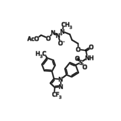 CC(=O)OCON=[N+]([O-])N(C)CCCOC(=O)NS(=O)(=O)c1ccc(-n2nc(C(F)(F)F)cc2-c2ccc(C)cc2)cc1